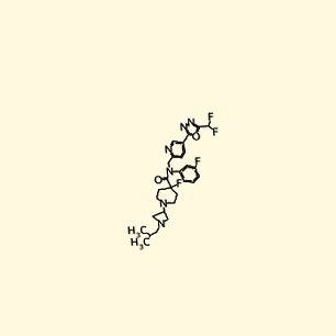 CC(C)CN1CC(N2CCC(F)(C(=O)N(Cc3ccc(-c4nnc(C(F)F)o4)cn3)c3cccc(F)c3)CC2)C1